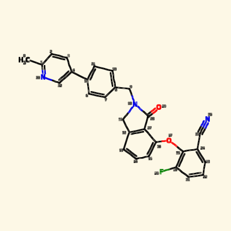 Cc1ccc(-c2ccc(CN3Cc4cccc(Oc5c(F)cccc5C#N)c4C3=O)cc2)cn1